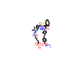 CCC(CC)N(CCN(C)C(=O)CCCCC(=O)O)Cc1cccc(C(=O)Nc2sc3c(c2C(=O)Nc2ccc(CCc4ccc(C(=O)ON)cc4)cc2)CCCC3)c1